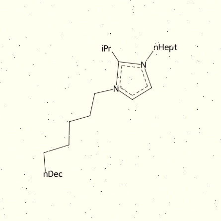 CCCCCCCCCCCCCCC[n+]1ccn(CCCCCCC)c1C(C)C